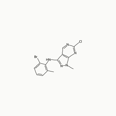 Cc1cccc(Br)c1Nc1nn(C)c2nc(Cl)ncc12